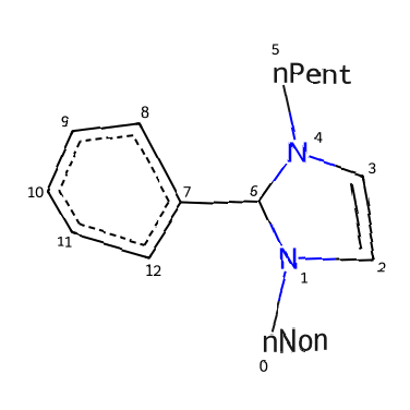 CCCCCCCCCN1C=CN(CCCCC)C1c1ccccc1